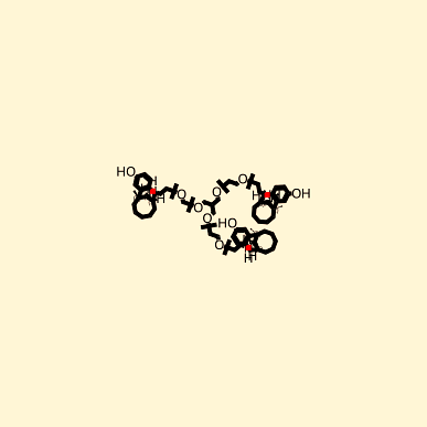 CC(C)(CCN[C@H]1[C@H]2CCCCC[C@]1(C)c1cc(O)ccc1C2)OCCC(C)(C)OCC(COC(C)(C)CCOC(C)(C)CCN[C@H]1[C@H]2CCCCC[C@]1(C)c1cc(O)ccc1C2)COC(C)(C)COC(C)(C)CCN[C@H]1[C@H]2CCCCC[C@]1(C)c1cc(O)ccc1C2